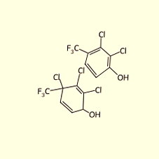 OC1C=CC(Cl)(C(F)(F)F)C(Cl)=C1Cl.Oc1ccc(C(F)(F)F)c(Cl)c1Cl